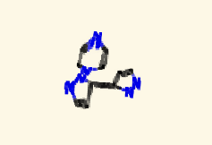 C1=CC(=C2C=CN=N2)N=N1.c1cnccn1